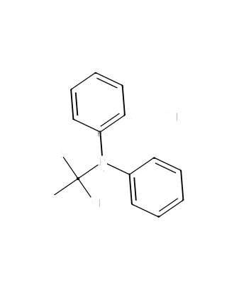 CC(Cl)(Cl)P(c1ccccc1)c1ccccc1.[Pd]